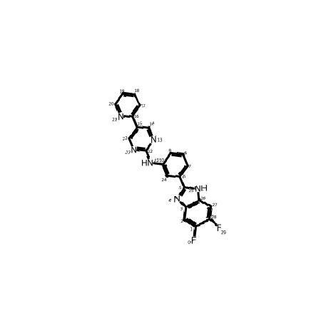 Fc1cc2nc(-c3cccc(Nc4ncc(-c5ccccn5)cn4)c3)[nH]c2cc1F